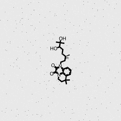 C[C@H](CCC(O)C(C)(C)O)CCn1c(=O)c(=O)n2c3c(cccc31)C(C)(C)CC2